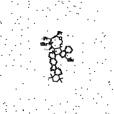 C=C1C2C(CCO/C(C(C)C)=C\C(C(C)C)=[N+]/1C(C)(C)C)c1c(cc(C(C)(C)C)c3ccccc13)-c1c3cc4c(cc3cc[n+]12)sc1c2c(ccc14)C(C)(C)CCC2(C)C